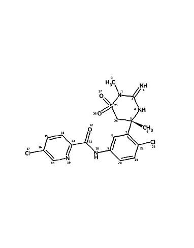 CN1C(=N)N[C@](C)(c2cc(NC(=O)c3ccc(Cl)cn3)ccc2Cl)CS1(=O)=O